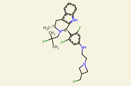 C[C@@H]1Cc2c([nH]c3ccccc23)[C@@H](c2c(F)cc(NCCN3CC(CF)C3)cc2F)N1CC(C)(C)F